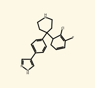 FC1=C(Cl)C(C2(c3ccc(-c4cn[nH]c4)cc3)CCNCC2)CC=C1